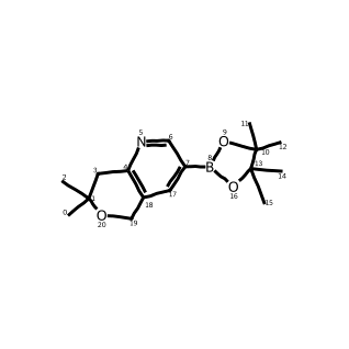 CC1(C)Cc2ncc(B3OC(C)(C)C(C)(C)O3)cc2CO1